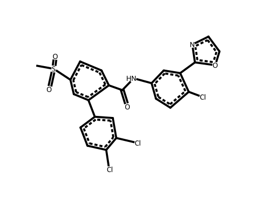 CS(=O)(=O)c1ccc(C(=O)Nc2ccc(Cl)c(-c3ncco3)c2)c(-c2ccc(Cl)c(Cl)c2)c1